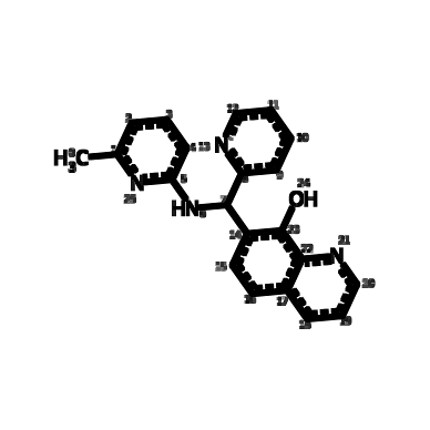 Cc1cccc(NC(c2ccccn2)c2ccc3cccnc3c2O)n1